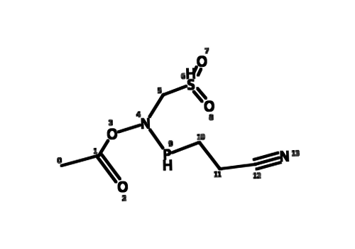 CC(=O)ON(C[SH](=O)=O)PCCC#N